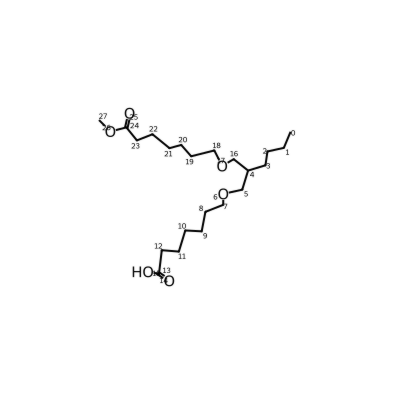 CCCCC(COCCCCCCC(=O)O)COCCCCCCC(=O)OC